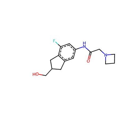 O=C(CN1CCC1)Nc1cc(F)c2c(c1)CC(CO)C2